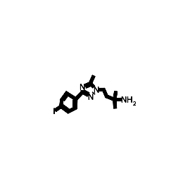 Cc1nc(-c2ccc(I)cc2)nn1CCC(C)(C)N